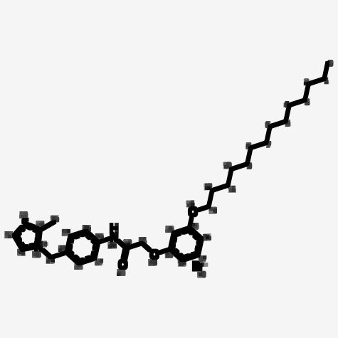 CCCCCCCCCCCCCCOc1cccc(OCC(=O)Nc2ccc(C[n+]3ccsc3C)cc2)c1.[Br-]